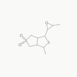 CC1OC1C1SC(C)C2CS(=O)(=O)CC21